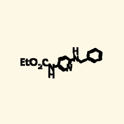 CCOC(=O)Nc1ccc(NCc2ccccc2)nc1